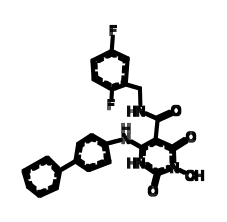 O=C(NCc1cc(F)ccc1F)c1c(Nc2ccc(-c3ccccc3)cc2)[nH]c(=O)n(O)c1=O